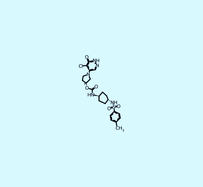 Cc1ccc(S(=O)(=O)N[C@H]2CC[C@H](NC(=O)O[C@@H]3CCN(c4cn[nH]c(=O)c4Cl)C3)CC2)cc1